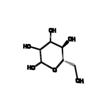 OC[C@@H]1OC(O)C(O)C(O)[C@H]1O